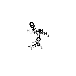 CC(NC(=O)c1cnn(C)c1OCC1CCN(C(=O)OC(C)(C)C)CC1)C1CC2CCCC(C2)C1